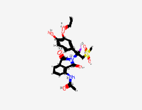 CCOc1cc(C(I)(CS(C)(=O)=O)N2C(=O)c3cccc(NC(C)=O)c3C2=O)ccc1O